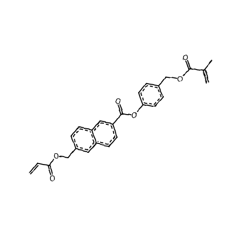 C=CC(=O)OCc1ccc2cc(C(=O)Oc3ccc(COC(=O)C(=C)C)cc3)ccc2c1